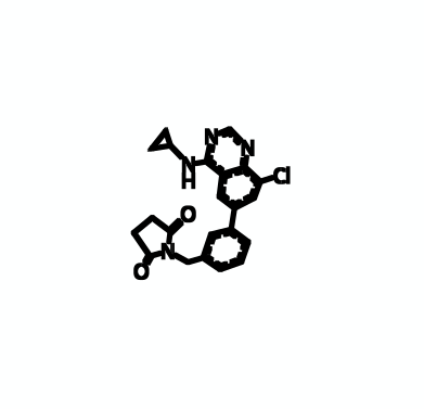 O=C1CCC(=O)N1Cc1cccc(-c2cc(Cl)c3ncnc(NC4CC4)c3c2)c1